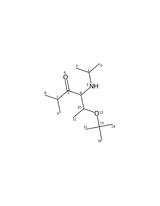 CC(C)NC(C(=O)C(C)C)C(C)OC(C)(C)C